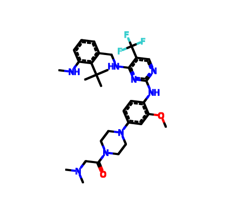 CNc1cccc(CNc2nc(Nc3ccc(N4CCN(C(=O)CN(C)C)CC4)cc3OC)ncc2C(F)(F)F)c1C(C)(C)C